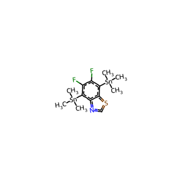 [CH3][Sn]([CH3])([CH3])[c]1c(F)c(F)[c]([Sn]([CH3])([CH3])[CH3])c2scnc12